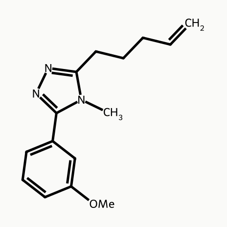 C=CCCCc1nnc(-c2cccc(OC)c2)n1C